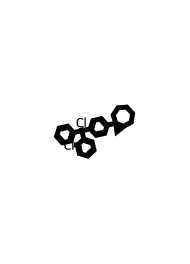 Clc1ccccc1C(Cl)(c1ccccc1)c1ccc(C23CCCCCC2C3)cc1